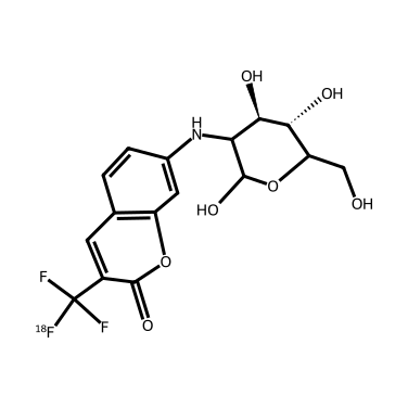 O=c1oc2cc(NC3C(O)OC(CO)[C@@H](O)[C@@H]3O)ccc2cc1C(F)(F)[18F]